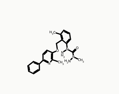 Cc1cccc(N(N)C(=O)N(C)N)c1COc1ccc(-c2ccccc2)nc1C